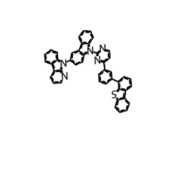 c1cc(-c2ccnc(-n3c4ccccc4c4cc(-n5c6ccccc6c6cccnc65)ccc43)n2)cc(-c2cccc3c2sc2ccccc23)c1